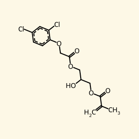 C=C(C)C(=O)OCC(O)COC(=O)COc1ccc(Cl)cc1Cl